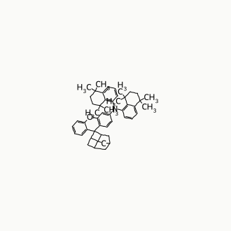 CC1(C)CCC(C)(C)c2c(N(c3ccc4c(c3)Oc3ccccc3C43C4CC5CC6CC3C64C5)c3cccc4c3C(C)(C)CCC4(C)C)cccc21